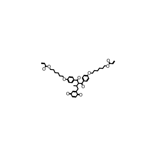 C=CC(=O)OCCCCCCOc1ccc(C(=O)C(C(=O)c2ccc(OCCCCCCOC(=O)C=C)cc2)C(C)CC2=CC(=O)C=CC2=O)cc1